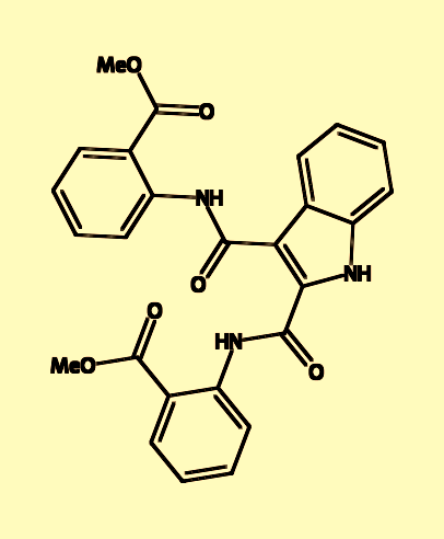 COC(=O)c1ccccc1NC(=O)c1[nH]c2ccccc2c1C(=O)Nc1ccccc1C(=O)OC